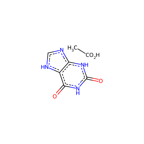 CC(=O)O.O=c1[nH]c(=O)c2[nH]cnc2[nH]1